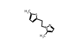 Cc1ccc(CCn2nccc2C)s1